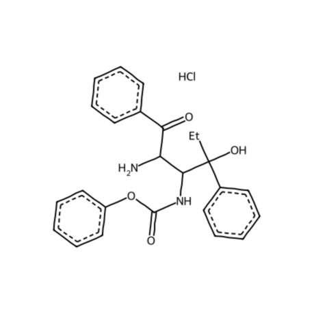 CCC(O)(c1ccccc1)C(NC(=O)Oc1ccccc1)C(N)C(=O)c1ccccc1.Cl